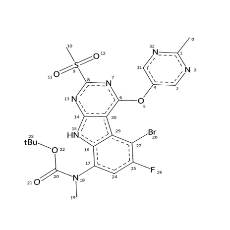 Cc1ncc(Oc2nc(S(C)(=O)=O)nc3[nH]c4c(N(C)C(=O)OC(C)(C)C)cc(F)c(Br)c4c23)cn1